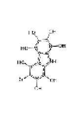 Oc1c(O)c(O)c2c([nH]c3c(O)c(O)c(Br)c(O)c32)c1O